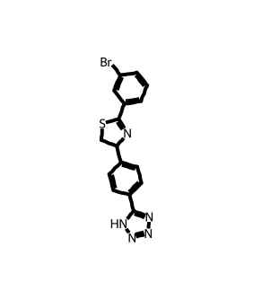 Brc1cccc(C2=NC(c3ccc(-c4nnn[nH]4)cc3)CS2)c1